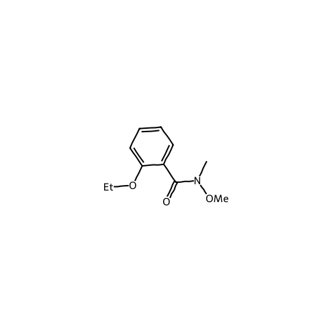 CCOc1ccccc1C(=O)N(C)OC